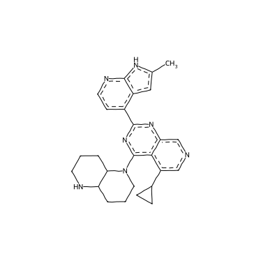 Cc1cc2c(-c3nc(N4CCCC5NCCCC54)c4c(C5CC5)cncc4n3)ccnc2[nH]1